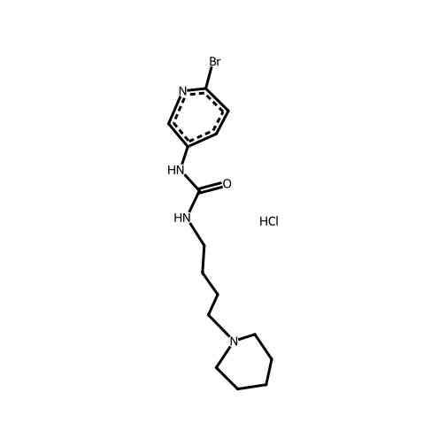 Cl.O=C(NCCCCN1CCCCC1)Nc1ccc(Br)nc1